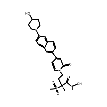 C[C@@](CCn1ccc(-c2ccc3cc(N4CCC(O)CC4)ccc3c2)cc1=O)(C(=O)NO)S(C)(=O)=O